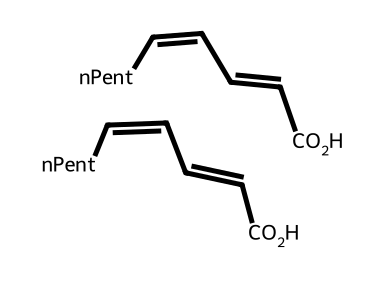 CCCCC/C=C\C=C\C(=O)O.CCCCC/C=C\C=C\C(=O)O